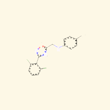 CC(C)(C)c1ccc(NCc2nc(-c3c(Cl)cccc3Cl)no2)cc1